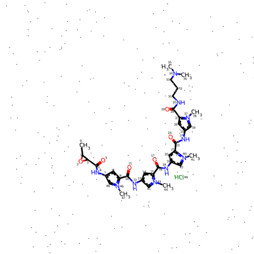 CC1OC1C(=O)Nc1cc(C(=O)Nc2cc(C(=O)Nc3cc(C(=O)Nc4cc(C(=O)NCCCN(C)C)n(C)c4)n(C)c3)n(C)c2)n(C)c1.Cl